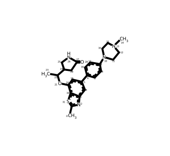 Cc1nc2cc(-c3ccc(N4CCN(C)CC4)cc3)cc(OC(C)C3CNC(=O)C3)c2s1